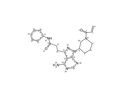 C=CC(=O)N1CCCC(n2nc(CCC(=O)Nc3ccccc3)c3c(N)ncnc32)C1